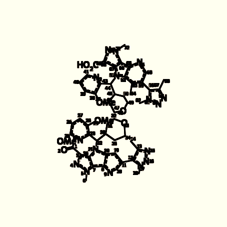 COC(=O)c1nn(C)c2c3ncc(-c4c(C)nnn4C)cc3n(C(c3ncccc3OC)C3CCOCC3)c12.COc1cccnc1C(C1CCOCC1)n1c2c(C)c(-c3c(C)nnn3C)cnc2c2c1c(C(=O)O)nn2C